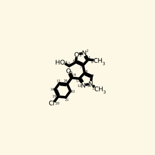 Cc1noc(CO)c1-c1cn(C)nc1C(=O)C1=CC=C(Cl)CC1